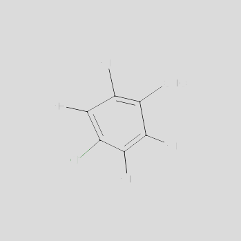 [2H]c1c([2H])c(C=O)c([2H])c([2H])c1Cl